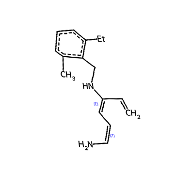 C=C/C(=C\C=C/N)NCc1c(C)cccc1CC